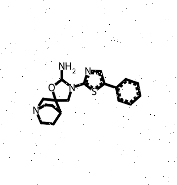 NC1OC2(CN3CCC2CC3)CN1c1ncc(-c2ccccc2)s1